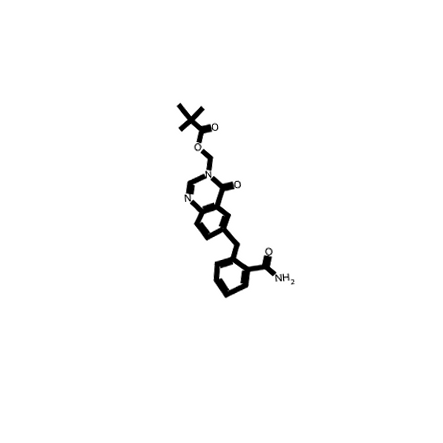 CC(C)(C)C(=O)OCn1cnc2ccc(Cc3ccccc3C(N)=O)cc2c1=O